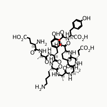 C[C@H](NC(=O)[C@H](C)NC(=O)[C@H](CCCCN)NC(=O)[C@H](Cc1ccc(O)cc1)NC(=O)[C@H](C)NC(=O)[C@@H](N)CCC(=O)O)C(=O)N[C@@H](CCC(=O)O)C(=O)N[C@@H](CCCCN)C(=O)N[C@@H](C)C(=O)N[C@@H](Cc1ccc(O)cc1)C(=O)O